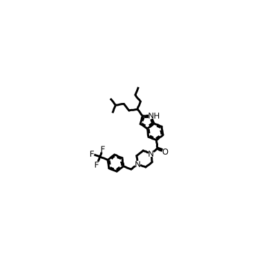 CCCC(CCC(C)C)c1cc2cc(C(=O)N3CCN(Cc4ccc(C(F)(F)F)cc4)CC3)ccc2[nH]1